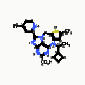 CC(C)c1ccnc(-c2nc3nc(C(=O)O)nc(NC(C)C4CCC4)c3n2Cc2ccc(C(F)(F)F)s2)c1